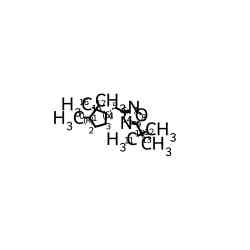 C[C@@H]1CC[C@@H](Cc2noc(C(C)(C)C)n2)C1(C)C